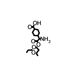 CCCC(OC(=O)CC)OC(=O)C(N)C1CCC(C(=O)O)CC1